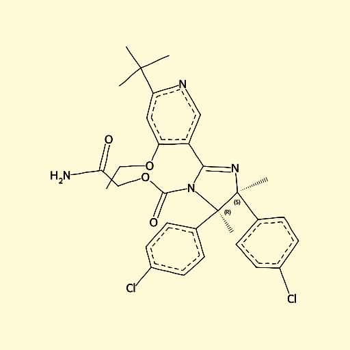 CCOc1cc(C(C)(C)C)ncc1C1=N[C@@](C)(c2ccc(Cl)cc2)[C@@](C)(c2ccc(Cl)cc2)N1C(=O)OCC(N)=O